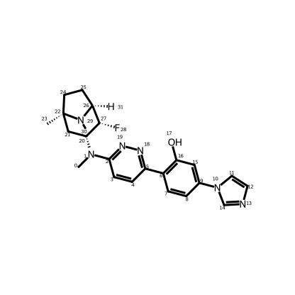 CN(c1ccc(-c2ccc(-n3ccnc3)cc2O)nn1)[C@@H]1C[C@@]2(C)CC[C@@H]([C@@H]1F)N2C